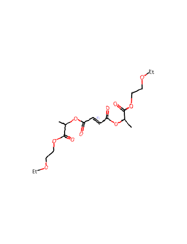 CCOCCOC(=O)C(C)OC(=O)/C=C/C(=O)OC(C)C(=O)OCCOCC